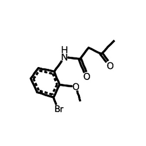 COc1c(Br)cccc1NC(=O)CC(C)=O